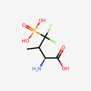 CC([C@H](N)C(=O)O)C(F)(F)P(=O)(O)O